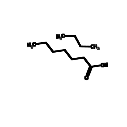 CCCC.CCCCCCC(=O)O